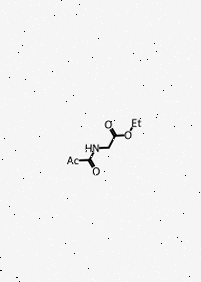 CCOC(=O)CNC(=O)C(C)=O